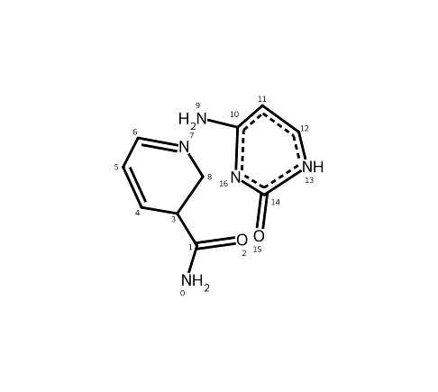 NC(=O)C1C=CC=NC1.Nc1cc[nH]c(=O)n1